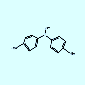 CCCCc1ccc(P(CCC)c2ccc(CCCC)cc2)cc1